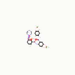 COc1ccc2nc(N3C4CC3CN(C(=O)OC(C)(C)C)C4)sc2c1C(=O)Nc1cc2c(cc1C(=O)Nc1ccc3c(c1)OC(F)(F)O3)OC(F)(F)O2